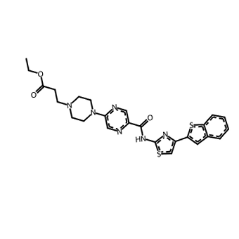 CCOC(=O)CCN1CCN(c2cnc(C(=O)Nc3nc(-c4cc5ccccc5s4)cs3)cn2)CC1